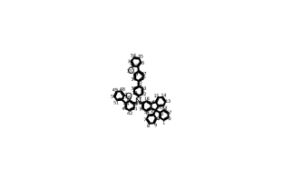 c1ccc(C2(c3ccccc3)c3ccccc3-c3cc(N(c4ccc(-c5ccc6c(c5)oc5ccccc56)cc4)c4cccc5c4oc4ccccc45)ccc32)cc1